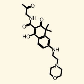 CC(=O)CNC(=O)C1=C(O)c2ccc(NCCN3CCOCC3)cc2C(C)(C)C1=O